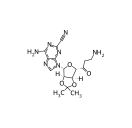 CC1(C)O[C@@H]2[C@H](O1)[C@@H](C(=O)CCN)O[C@H]2n1cnc2c(N)nc(C#N)nc21